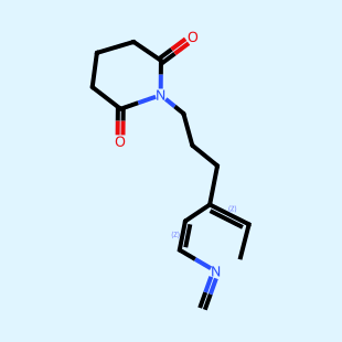 C=N/C=C\C(=C/C)CCCN1C(=O)CCCC1=O